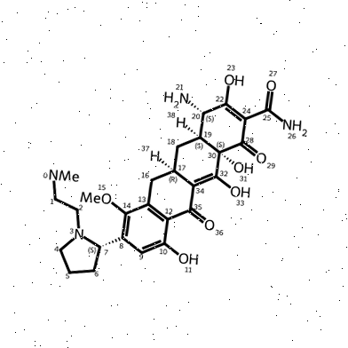 CNCCN1CCC[C@H]1c1cc(O)c2c(c1OC)C[C@H]1C[C@H]3[C@H](N)C(O)=C(C(N)=O)C(=O)[C@@]3(O)C(O)=C1C2=O